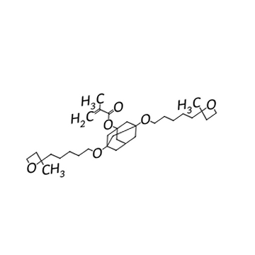 C=C(C)C(=O)OC12CC3CC(OCCCCCC4(C)CCO4)(CC(OCCCCCC4(C)CCO4)(C3)C1)C2